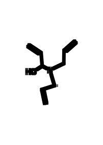 C=C[CH]N(CC=C)C(O)C=C